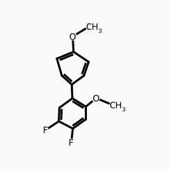 COc1ccc(-c2cc(F)c(F)cc2OC)cc1